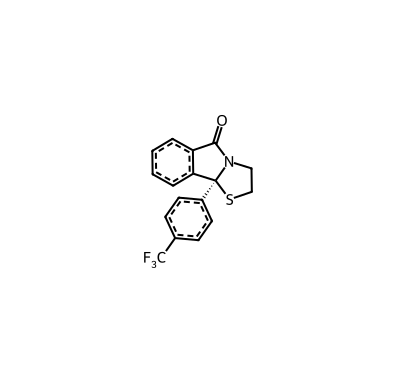 O=C1c2ccccc2[C@]2(c3ccc(C(F)(F)F)cc3)SCCN12